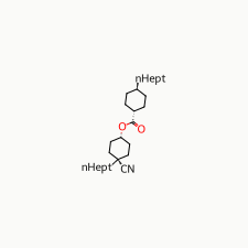 CCCCCCC[C@H]1CC[C@H](C(=O)O[C@H]2CC[C@@](C#N)(CCCCCCC)CC2)CC1